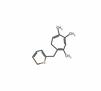 CC1=CCC(CC2=CC=CCS2)=C(C)C=C1C